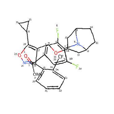 COC(=O)c1cc(F)c(N2C3CCC2CC(OCc2c(-c4ccccc4C(F)(F)F)noc2C2CC2)C3)c(F)c1